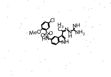 COc1ccc(Cl)cc1S(=O)(=O)Nc1ccc2[nH]cc(/C(C)=N\NC(=N)N)c2c1